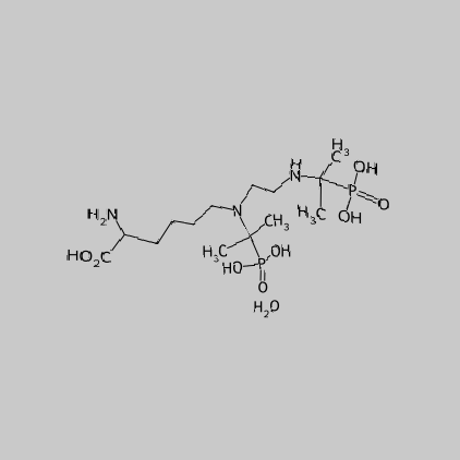 CC(C)(NCCN(CCCCC(N)C(=O)O)C(C)(C)P(=O)(O)O)P(=O)(O)O.O